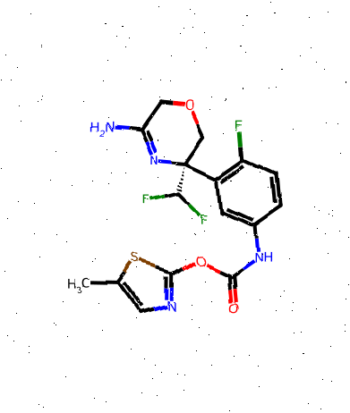 Cc1cnc(OC(=O)Nc2ccc(F)c([C@]3(C(F)F)COCC(N)=N3)c2)s1